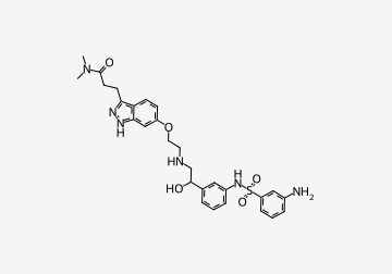 CN(C)C(=O)CCc1n[nH]c2cc(OCCNCC(O)c3cccc(NS(=O)(=O)c4cccc(N)c4)c3)ccc12